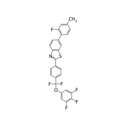 Cc1ccc(-c2ccc3nc(-c4ccc(C(F)(F)Oc5cc(F)c(F)c(F)c5)cc4)sc3c2)c(F)c1